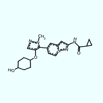 Cn1ncc(OC2CCC(O)CC2)c1-c1ccn2nc(NC(=O)C3CC3)cc2c1